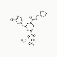 CC(C)(C)OC(=O)N1CCN(C(=O)OCc2ccccc2)CC(Cc2ccnc(Cl)c2)C1